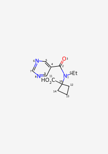 CCN(C(=O)c1cncnc1)C1(C(=O)O)CCC1